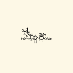 COc1ccc(-c2cc3cc(C4=NNC(=O)CC4CO)ccc3[nH]2)c(OC)c1